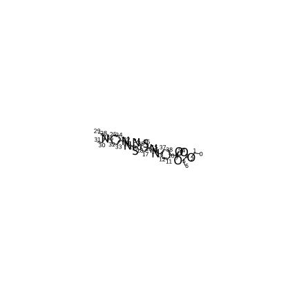 CCOC(=O)C(C)OC(=O)c1ccc(N=Nc2cc3sc(N=Nc4ccc(N(CC)CC)cc4)nc3s2)cc1